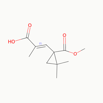 COC(=O)C1(/C=C(\C)C(=O)O)CC1(C)C